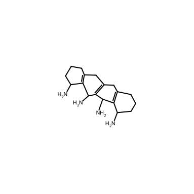 NC1CCCC2=C1C(N)C1=C(C2)CC2=C(C(N)CCC2)C1N